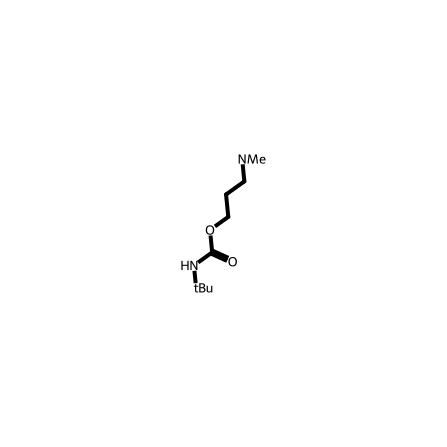 CNCCCOC(=O)NC(C)(C)C